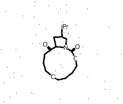 CC(C)C1CC2C(=O)CCCCCCCCCC(=O)N2C1